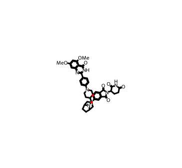 COc1cc(OC)c2c(=O)[nH]c(-c3ccc(N4CCC(CN5C6CCC5CN(c5ccc7c(c5)C(=O)N(C5CCC(=O)NC5=O)C7=O)C6)CC4)cc3)nc2c1